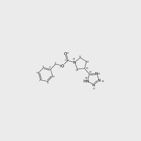 O=C(OCc1ccccc1)N1CCC(c2nnn[nH]2)C1